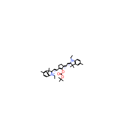 CCN1/C(=C/C=C2\CCC(/C=C/C3=[N+](CC)c4ccc(C)c5c4C35C)=C2OC(=O)OC(C)(C)C)C(C)(C)c2cc(C)ccc21